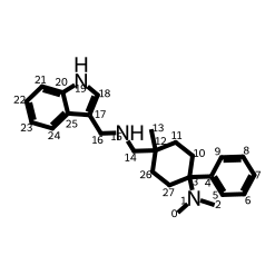 CN(C)C1(c2ccccc2)CCC(C)(CNCc2c[nH]c3ccccc23)CC1